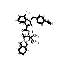 CC(C)(C)[C@H](NC(=O)c1nn(Cc2ccc(C#N)cc2)c2c(F)cccc12)C(=O)N1Cc2ccccc2C1